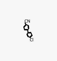 N#CCc1ccc(-c2ccc(Cl)cc2)cc1